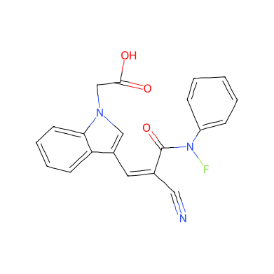 N#CC(=Cc1cn(CC(=O)O)c2ccccc12)C(=O)N(F)c1ccccc1